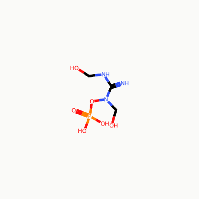 N=C(NCO)N(CO)OP(=O)(O)O